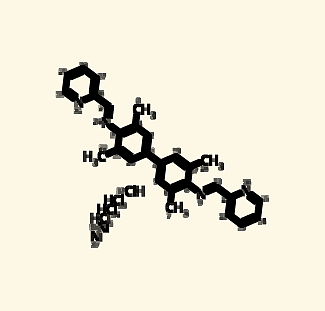 Cc1cc(-c2cc(C)c(N=Cc3ccccn3)c(C)c2)cc(C)c1N=Cc1ccccn1.Cl.Cl.Cl.Cl.[Ni].[Ni]